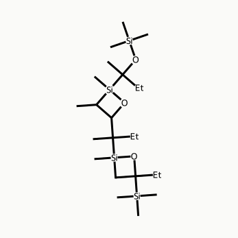 CCC1([Si](C)(C)C)C[Si](C)(C(C)(CC)C2O[Si](C)(C(C)(CC)O[Si](C)(C)C)C2C)O1